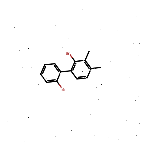 Cc1ccc(-c2ccccc2Br)c(Br)c1C